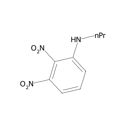 CCCNc1cccc([N+](=O)[O-])c1[N+](=O)[O-]